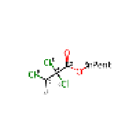 CCCCCOC(=O)C(Cl)(Cl)C(C)Cl